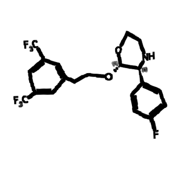 Fc1ccc([C@@H]2NCCO[C@H]2OCCc2cc(C(F)(F)F)cc(C(F)(F)F)c2)cc1